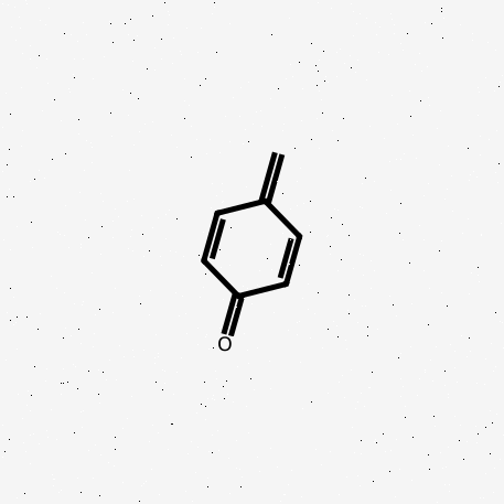 C=C1C=CC(=O)C=C1